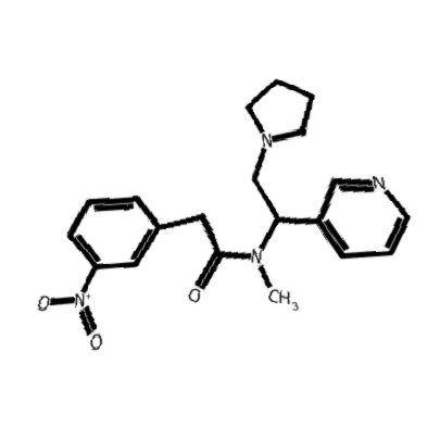 CN(C(=O)Cc1cccc([N+](=O)[O-])c1)C(CN1CCCC1)c1cccnc1